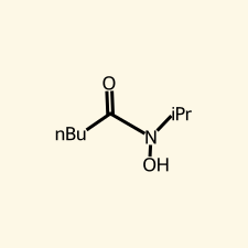 CCCCC(=O)N(O)C(C)C